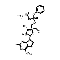 CCOC(=O)[C@H](C)NP(=O)(OC[C@@]1(CCl)O[C@@H](n2cnc3c(NC)nc(C)nc32)[C@H](F)[C@@H]1O)Oc1ccccc1